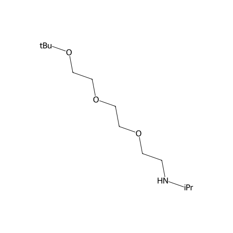 CC(C)NCCOCCOCCOC(C)(C)C